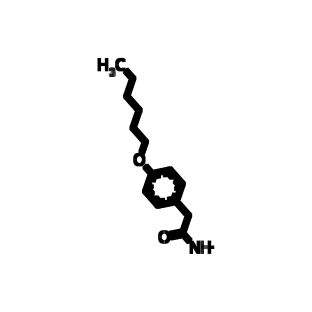 CCCCCCOc1ccc(CC([NH])=O)cc1